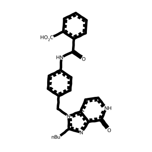 CCCCc1nc2c(=O)[nH]ccc2n1Cc1ccc(NC(=O)c2ccccc2C(=O)O)cc1